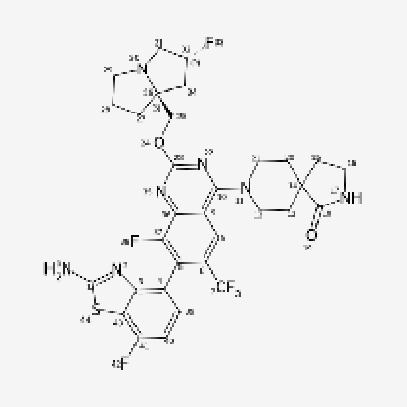 Nc1nc2c(-c3c(C(F)(F)F)cc4c(N5CCC6(CCNC6=O)CC5)nc(OC[C@@]56CCCN5C[C@H](F)C6)nc4c3F)ccc(F)c2s1